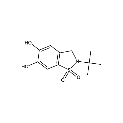 CC(C)(C)N1Cc2cc(O)c(O)cc2S1(=O)=O